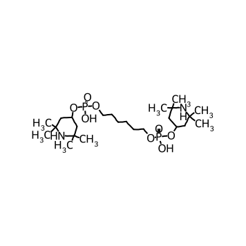 CC1(C)CC(OP(=O)(O)OCCCCCCOP(=O)(O)OC2CC(C)(C)NC(C)(C)C2)CC(C)(C)N1